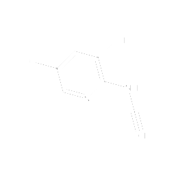 C#CNc1ncc(Br)cc1C